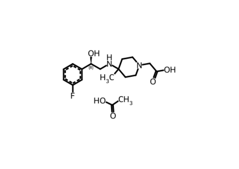 CC(=O)O.CC1(NC[C@H](O)c2cccc(F)c2)CCN(CC(=O)O)CC1